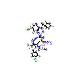 COC(=O)N(Cc1ccc(Br)cc1)c1c(N)nc(-n2nc(Cc3ccccc3F)c3ncc(F)cc32)nc1N